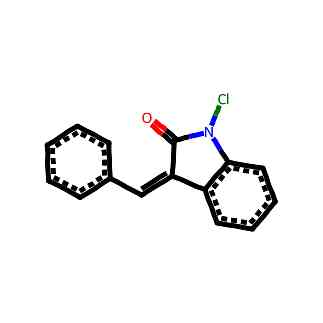 O=C1C(=Cc2ccccc2)c2ccccc2N1Cl